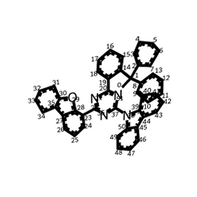 CC(c1ccccc1)(c1ccccc1)c1ccccc1-c1nc(-c2cccc3c2oc2ccccc23)nc(-n2c3ccccc3c3ccccc32)n1